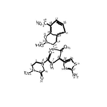 CCN1CCN(C(=O)NC(C(=O)N[C@H]2Cc3cccc(C(=O)O)c3OB2O)c2csc(N)n2)CC1=O